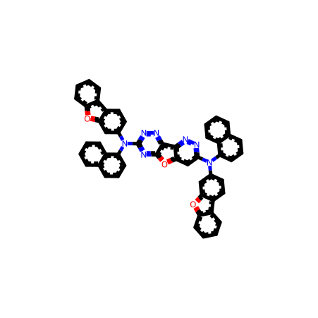 c1ccc2c(N(c3ccc4c(c3)oc3ccccc34)c3cc4oc5nc(N(c6ccc7c(c6)oc6ccccc67)c6cccc7ccccc67)nnc5c4nn3)cccc2c1